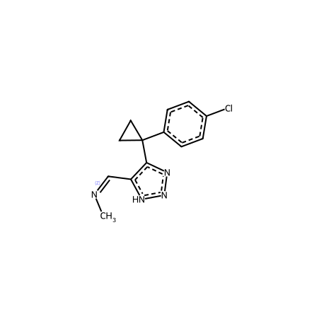 C/N=C\c1[nH]nnc1C1(c2ccc(Cl)cc2)CC1